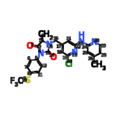 C=C1C(=O)N(c2ccc(SC(F)(F)F)cc2)C(=O)N1Cc1cc(Cl)nc(Nc2cc(C)ccn2)c1